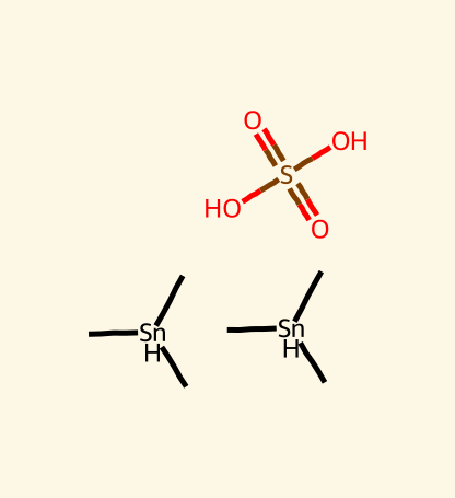 O=S(=O)(O)O.[CH3][SnH]([CH3])[CH3].[CH3][SnH]([CH3])[CH3]